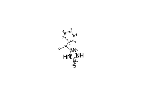 CC(c1ccccc1)c1n[nH]c(=S)[nH]1